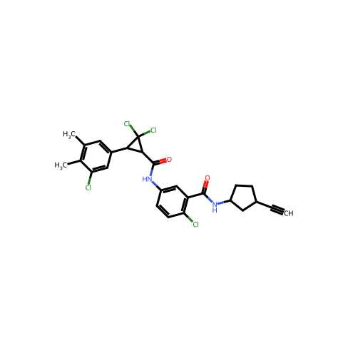 C#CC1CCC(NC(=O)c2cc(NC(=O)C3C(c4cc(C)c(C)c(Cl)c4)C3(Cl)Cl)ccc2Cl)C1